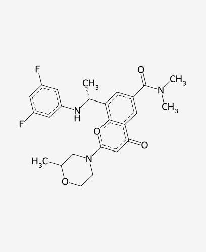 CC1CN(c2cc(=O)c3cc(C(=O)N(C)C)cc([C@@H](C)Nc4cc(F)cc(F)c4)c3o2)CCO1